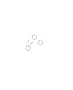 COc1ccc(NC(=C2C(=O)Nc3ccc(N)cc32)c2ccccc2)cc1OC